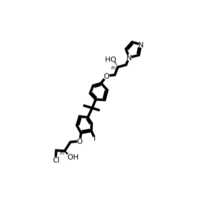 CC(C)(c1ccc(OC[C@H](O)Cn2ccnc2)cc1)c1ccc(OC[C@@H](O)CCl)c(I)c1